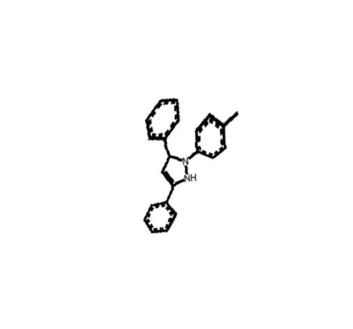 Cc1ccc(N2NC(c3ccccc3)=CC2c2ccccc2)cc1